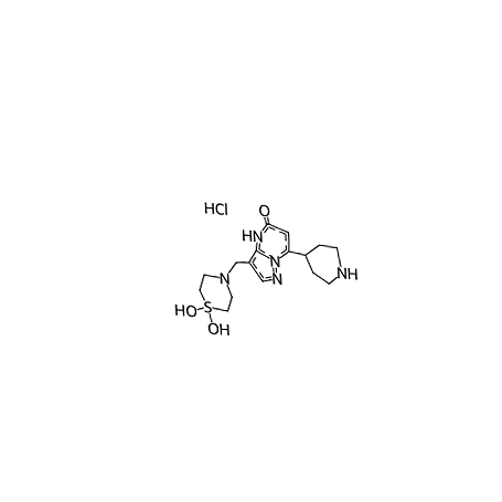 Cl.O=c1cc(C2CCNCC2)n2ncc(CN3CCS(O)(O)CC3)c2[nH]1